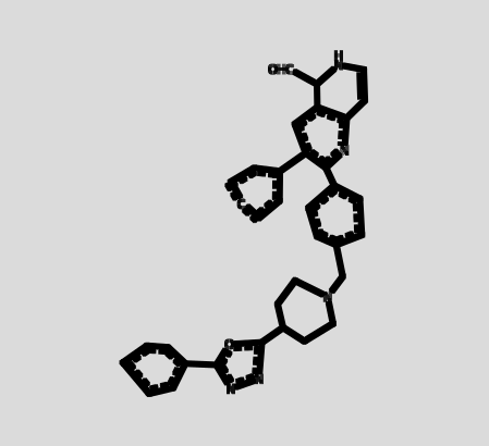 O=CC1NC=Cc2nc(-c3ccc(CN4CCC(c5nnc(-c6ccccc6)o5)CC4)cc3)c(-c3ccccc3)cc21